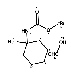 CC1(NC(=O)OC(C)(C)C)CCCCC1.O=CO